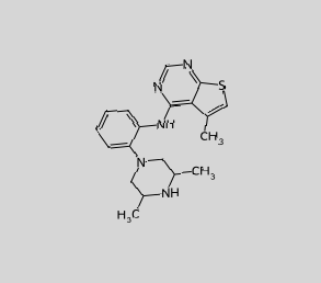 Cc1csc2ncnc(Nc3ccccc3N3CC(C)NC(C)C3)c12